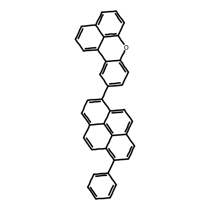 c1ccc(-c2ccc3ccc4c(-c5ccc6c(c5)-c5cccc7cccc(c57)O6)ccc5ccc2c3c54)cc1